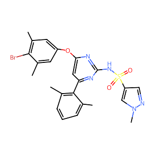 Cc1cc(Oc2cc(-c3c(C)cccc3C)nc(NS(=O)(=O)c3cnn(C)c3)n2)cc(C)c1Br